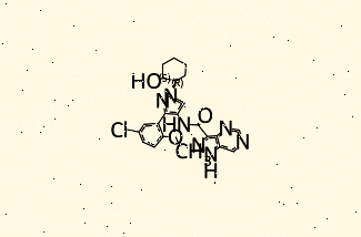 COc1ccc(Cl)cc1-c1nn([C@@H]2CCCC[C@@H]2O)cc1NC(=O)c1n[nH]c2cncnc12